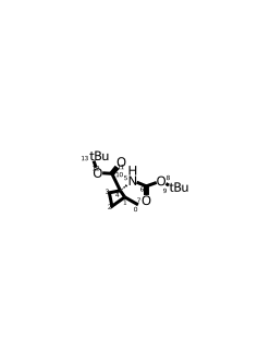 CC1CC[C@@]1(NC(=O)OC(C)(C)C)C(=O)OC(C)(C)C